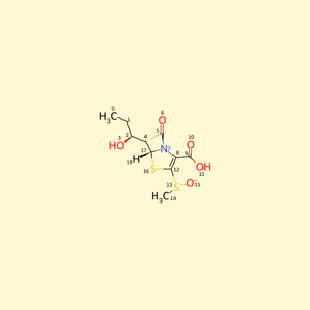 CC[C@H](O)[C@@H]1C(=O)N2C(C(=O)O)=C([S+](C)[O-])S[C@H]12